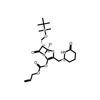 C=CCOC(=O)OC1=C(C[C@@H]2CCCC(=O)N2)S[C@@H]2[C@@H](CO[Si](C)(C)C(C)(C)C)C(=O)N12